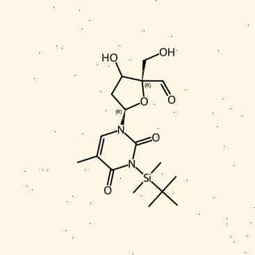 Cc1cn([C@H]2CC(O)[C@@](C=O)(CO)O2)c(=O)n([Si](C)(C)C(C)(C)C)c1=O